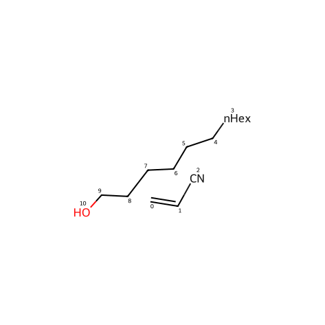 C=CC#N.CCCCCCCCCCCCO